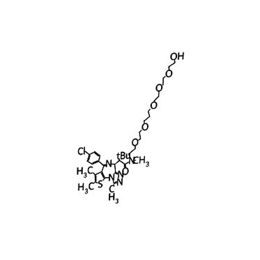 Cc1sc2c(c1C)C(c1ccc(Cl)cc1)=N[C@@H](C(C(=O)N(C)CCOCCOCCCOCCOCCOCCO)C(C)(C)C)c1nnc(C)n1-2